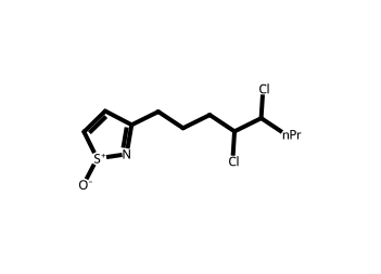 CCCC(Cl)C(Cl)CCCc1cc[s+]([O-])n1